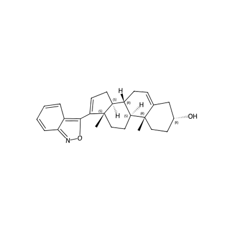 C[C@]12CC[C@@H](O)CC1=CC[C@@H]1[C@@H]2CC[C@]2(C)C(c3onc4ccccc34)=CC[C@@H]12